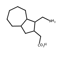 NCC1C(CC(=O)O)CC2CCCCCC21